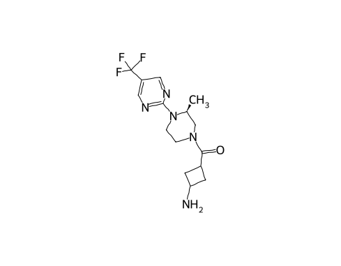 C[C@H]1CN(C(=O)C2CC(N)C2)CCN1c1ncc(C(F)(F)F)cn1